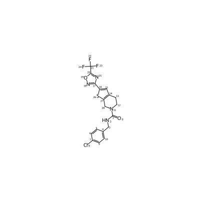 O=C(NCc1ccc(Cl)cc1)N1CCc2cc(-c3noc(C(F)(F)F)n3)sc2C1